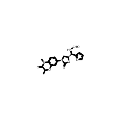 CC1Oc2cc(N3C[C@@H](C(NC=O)c4ccco4)OC3=O)ccc2N(C)C1=O